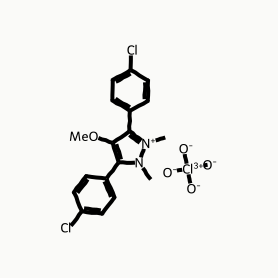 COc1c(-c2ccc(Cl)cc2)n(C)[n+](C)c1-c1ccc(Cl)cc1.[O-][Cl+3]([O-])([O-])[O-]